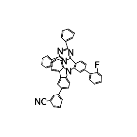 N#Cc1cccc(-c2ccc3c(c2)c2ccccc2n3-c2cc(-c3ccccc3F)ccc2-c2nc(-c3ccccc3)nc(-c3ccccc3)n2)c1